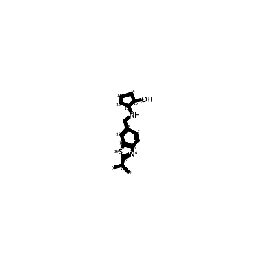 CC(C)c1nc2ccc(CNC3CCCC3O)cc2s1